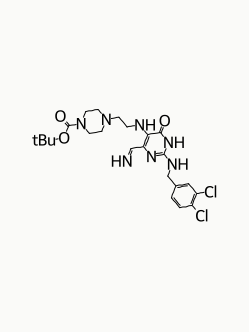 CC(C)(C)OC(=O)N1CCN(CCNc2c(C=N)nc(NCc3ccc(Cl)c(Cl)c3)[nH]c2=O)CC1